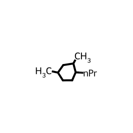 C[CH]CC1CCC(C)CC1C